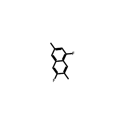 Cc1cc(F)c2cc(C)c(F)cc2c1